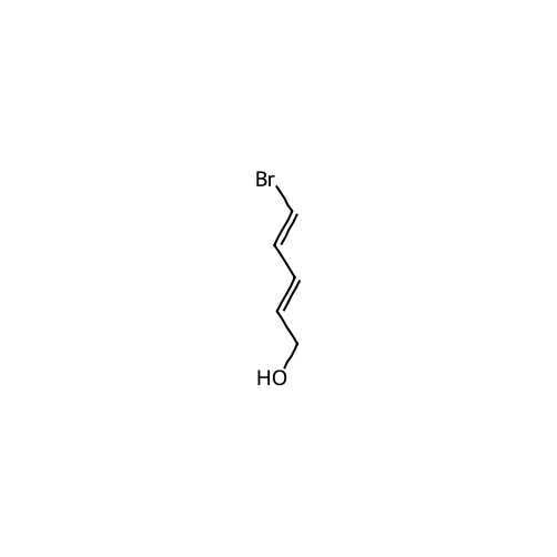 OC/C=C/C=C/Br